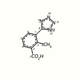 Cc1c(C(=O)O)cccc1-c1nnn[nH]1